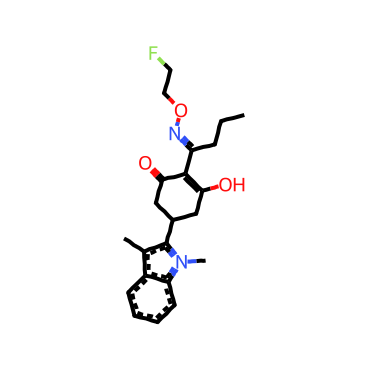 CCCC(=NOCCF)C1=C(O)CC(c2c(C)c3ccccc3n2C)CC1=O